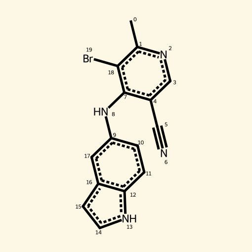 Cc1ncc(C#N)c(Nc2ccc3[nH]ccc3c2)c1Br